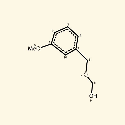 COc1cccc(COCO)c1